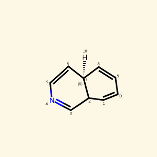 C1=CC2C=NC=C[C@H]2C=C1